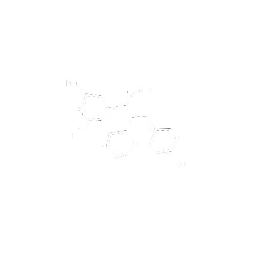 Cc1cc(C(=NO)C(Cc2ccc(Br)cc2)c2ccccc2)cc(C)n1